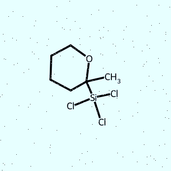 CC1([Si](Cl)(Cl)Cl)CCCCO1